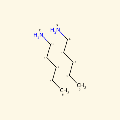 CCCCCN.CCCCCN